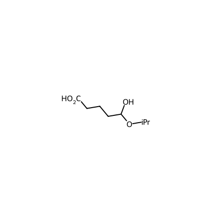 CC(C)OC(O)CCCC(=O)O